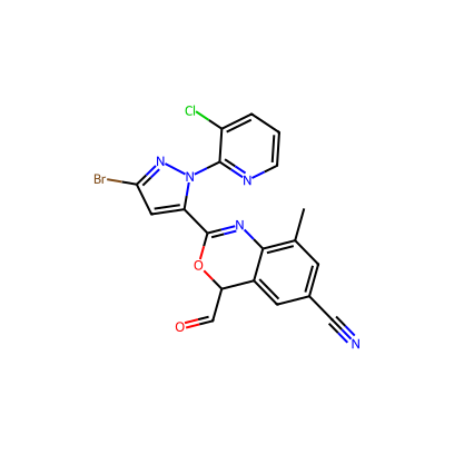 Cc1cc(C#N)cc2c1N=C(c1cc(Br)nn1-c1ncccc1Cl)OC2C=O